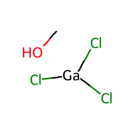 CO.[Cl][Ga]([Cl])[Cl]